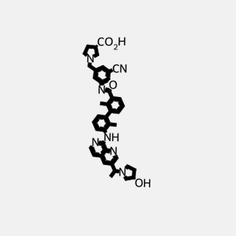 Cc1c(Nc2nccc3cc(C(C)N4CC[C@@H](O)C4)cnc23)cccc1-c1cccc(-c2nc3cc(CN4CC[C@@H](C(=O)O)C4)cc(C#N)c3o2)c1C